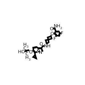 CC(C)(O)COc1ccc2c(C(=O)NC3CC4(C3)CC(Oc3c(F)cc(F)cc3C(N)=O)C4)cnn2c1C1CC1